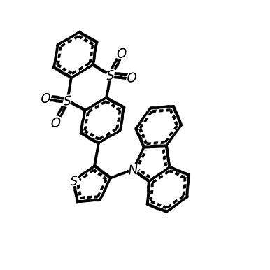 O=S1(=O)c2ccccc2S(=O)(=O)c2cc(-c3sccc3-n3c4ccccc4c4ccccc43)ccc21